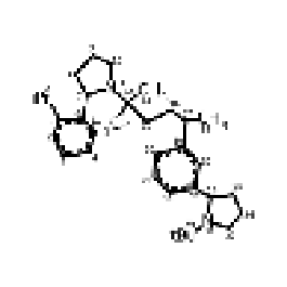 CC(C)c1ccccc1[C@H]1CCCN1C(C)(C)CCC(C)c1cccc(C2CCCN2C(C)(C)C)c1